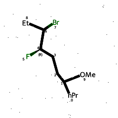 CCCC(CC[C@@H](F)C(Br)CC)OC